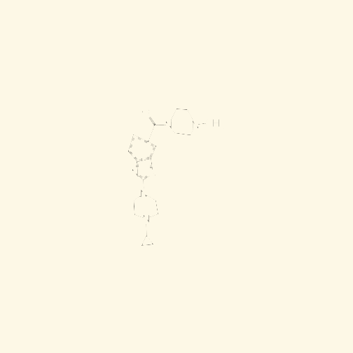 CN1CCN(C(=O)c2ccc3nc(N4CCN(C5CC5)CC4)sc3c2)CC1